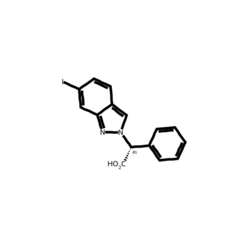 O=C(O)[C@@H](c1ccccc1)n1cc2ccc(I)cc2n1